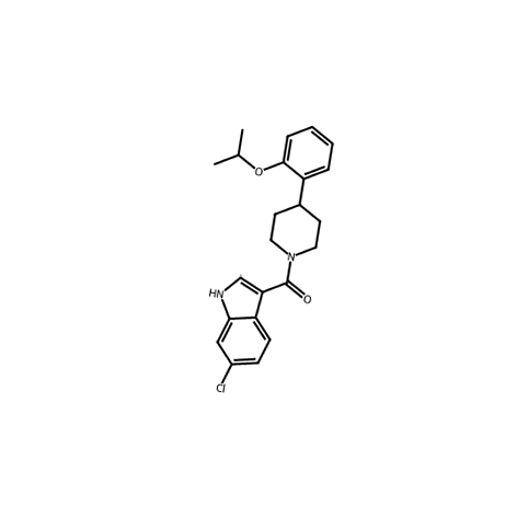 CC(C)Oc1ccccc1C1CCN(C(=O)c2[c][nH]c3cc(Cl)ccc23)CC1